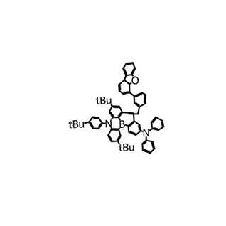 CC(C)(C)c1ccc(N2c3ccc(C(C)(C)C)cc3B3c4ccc(N(c5ccccc5)c5ccccc5)cc4C(Cc4cccc(C5=CC=CC6c7ccccc7OC56)c4)=Cc4cc(C(C)(C)C)cc2c43)cc1